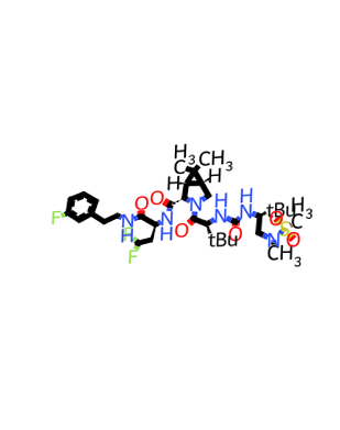 CN(C[C@@H](NC(=O)N[C@H](C(=O)N1C[C@H]2[C@@H]([C@H]1C(=O)N[C@@H](CC(F)F)C(=O)NCCc1cccc(F)c1)C2(C)C)C(C)(C)C)C(C)(C)C)S(C)(=O)=O